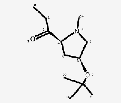 CCC(=O)[C@@H]1C[C@H](OC(C)(C)C)CN1C